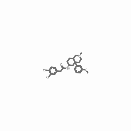 COc1cccc(C23CCN(C)CC2CC[C@H](NC(=O)Cc2ccc(Cl)c(Cl)c2)C3)c1